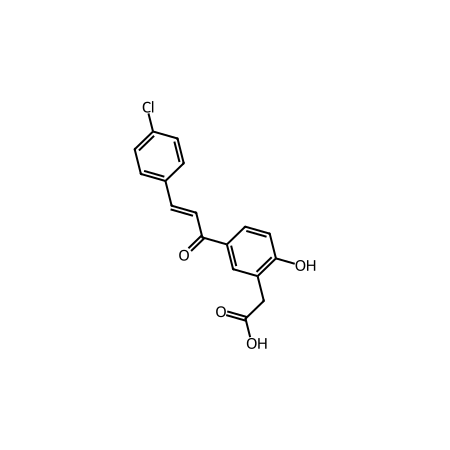 O=C(O)Cc1cc(C(=O)C=Cc2ccc(Cl)cc2)ccc1O